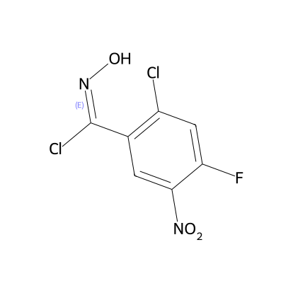 O=[N+]([O-])c1cc(/C(Cl)=N\O)c(Cl)cc1F